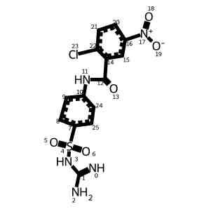 N=C(N)NS(=O)(=O)c1ccc(NC(=O)c2cc([N+](=O)[O-])ccc2Cl)cc1